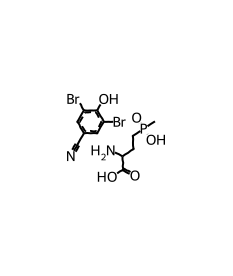 CP(=O)(O)CCC(N)C(=O)O.N#Cc1cc(Br)c(O)c(Br)c1